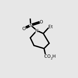 CCC1CC(C(=O)O)CCN1S(C)(=O)=O